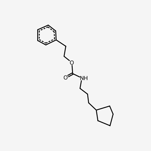 O=C(NCCCC1CCCC1)OCCc1ccccc1